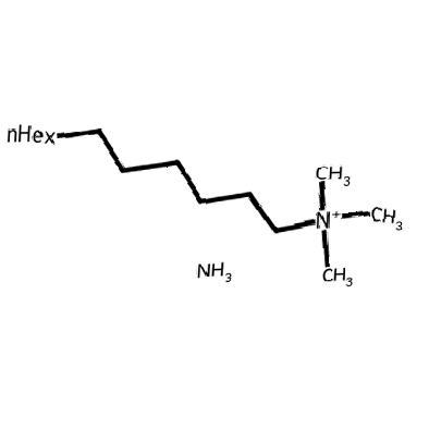 CCCCCCCCCCCC[N+](C)(C)C.N